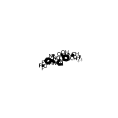 CC(C)(C)N[C@@H]1CC[C@H](N2CCC(Nc3ncnc4ccc(OC(F)(F)F)cc34)C2=O)[C@](C)(C(=O)O)C1